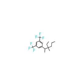 CCCC(C)(CC)C(C)c1cc(C(F)(F)F)cc(C(F)(F)F)c1